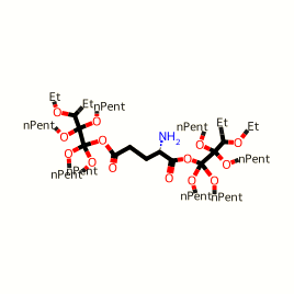 CCCCCOC(OCCCCC)(OC(=O)CC[C@H](N)C(=O)OC(OCCCCC)(OCCCCC)C(OCCCCC)(OCCCCC)C(CC)OCC)C(OCCCCC)(OCCCCC)C(CC)OCC